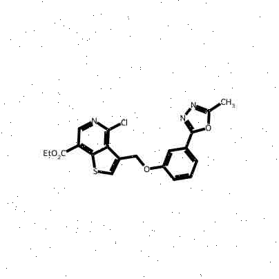 CCOC(=O)c1cnc(Cl)c2c(COc3cccc(-c4nnc(C)o4)c3)csc12